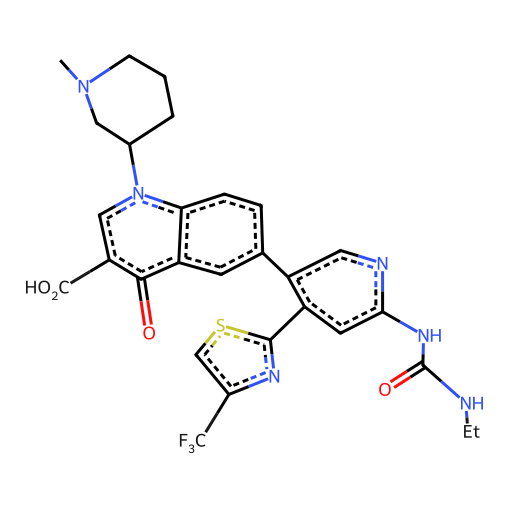 CCNC(=O)Nc1cc(-c2nc(C(F)(F)F)cs2)c(-c2ccc3c(c2)c(=O)c(C(=O)O)cn3C2CCCN(C)C2)cn1